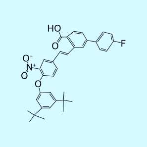 CC(C)(C)c1cc(Oc2ccc(C=Cc3cc(-c4ccc(F)cc4)ccc3C(=O)O)cc2[N+](=O)[O-])cc(C(C)(C)C)c1